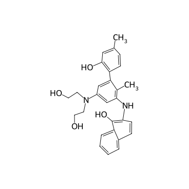 Cc1ccc(-c2cc(N(CCO)CCO)cc(Nc3ccc4ccccc4c3O)c2C)c(O)c1